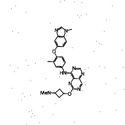 CNC1CC(Oc2ncc3ncnc(Nc4ccc(Oc5ccc6c(c5)ncn6C)c(C)c4)c3n2)C1